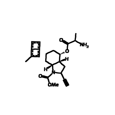 C#CC1C[C@H]2[C@@H](OC(=O)C(C)N)CCC[C@H]2N1C(=O)OC.Cc1cc2ccc1-2